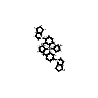 Fc1ccc(-n2ccc3c2CCC3)c(F)[c]1[Ti]([C]1=CC=CC1)([C]1=CC=CC1)[c]1c(F)ccc(-n2ccc3c2CCC3)c1F